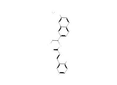 COc1ccc2ccc(C(CO)NC(=O)C=Cc3ccccc3F)cc2c1